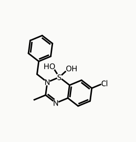 CC1=Nc2ccc(Cl)cc2S(O)(O)N1Cc1ccccc1